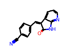 N#Cc1ccc(C=C2C(=O)Nc3ncccc32)cc1